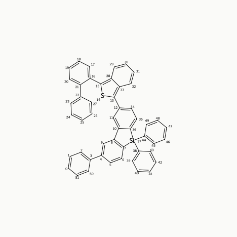 c1ccc(-c2ccc3c(c2)-c2cc(-c4sc(-c5ccccc5-c5ccccc5)c5ccccc45)ccc2[Si]3(c2ccccc2)c2ccccc2)cc1